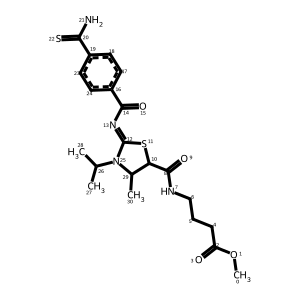 COC(=O)CCCNC(=O)C1SC(=NC(=O)c2ccc(C(N)=S)cc2)N(C(C)C)C1C